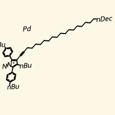 CCCCCCCCCCCCCCCCCCCCCCCCCCCC#CC1=C(c2ccc(CCCC)cc2)[N+](=[N-])C(c2ccc(CCCC)cc2)=C1CCCC.[Pd]